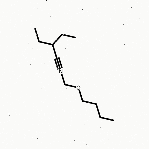 CCCCOC[N+]#CC(CC)CC